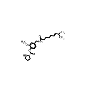 COc1cc(CNC(=O)CCCC/C=C/C(C)C)ccc1OC(=O)[C@@H]1CCCN1